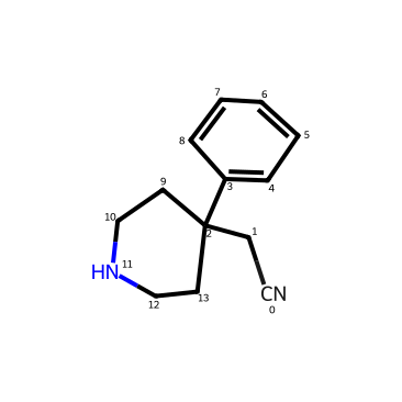 N#CCC1(c2ccccc2)CCNCC1